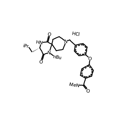 CCCCN1C(=O)[C@H](CC(C)C)NC(=O)C12CCN(Cc1ccc(Oc3ccc(C(=O)NC)cc3)cc1)CC2.Cl